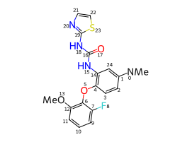 CNc1ccc(Oc2c(F)cccc2OC)c(NC(=O)Nc2nccs2)c1